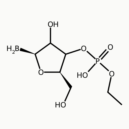 B[C@@H]1O[C@H](CO)C(OP(=O)(O)OCC)C1O